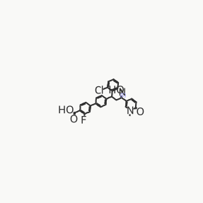 Cn1cc(/C(CC(c2ccc(-c3ccc(C(=O)O)c(F)c3)cc2)c2ccccc2Cl)=N/O)ccc1=O